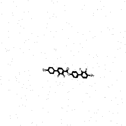 CCCc1ccc(-c2ccc(OC(=O)c3ccc(C4CCC(CC)CC4)c(F)c3F)cc2)c(F)c1F